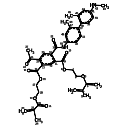 C=C(C)C(=C)OCCOC(=O)c1cc(C(=O)OCCOC(=O)C(=C)C)c(C(C)=O)cc1C(=O)Nc1ccc(-c2ccc(NC)cc2C)c(C)c1